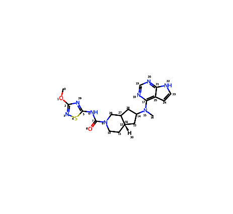 COc1nsc(NC(=O)N2CC[C@H]3CC(N(C)c4ncnc5[nH]ccc45)CC3C2)n1